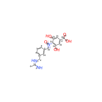 CC(=N)NCc1cccc(/C=[N+](\[O-])c2c(O)cc(C(=O)O)cc2O)c1